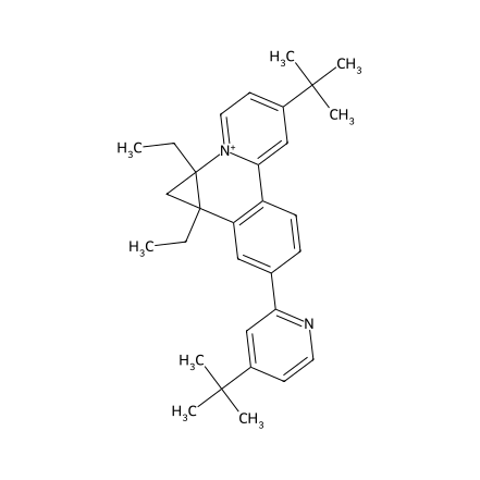 CCC12CC1(CC)[n+]1ccc(C(C)(C)C)cc1-c1ccc(-c3cc(C(C)(C)C)ccn3)cc12